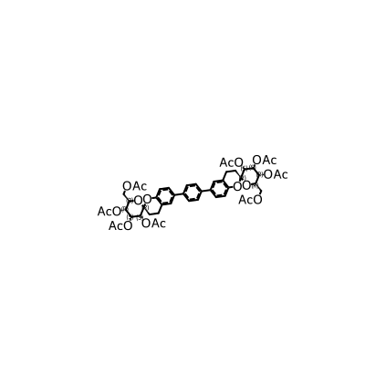 CC(=O)OC[C@H]1O[C@@]2(CCc3cc(-c4ccc(-c5ccc6c(c5)CC[C@]5(O6)O[C@H](COC(C)=O)[C@@H](OC(C)=O)[C@H](OC(C)=O)[C@@H]5OC(C)=O)cc4)ccc3O2)[C@@H](OC(C)=O)[C@@H](OC(C)=O)[C@@H]1OC(C)=O